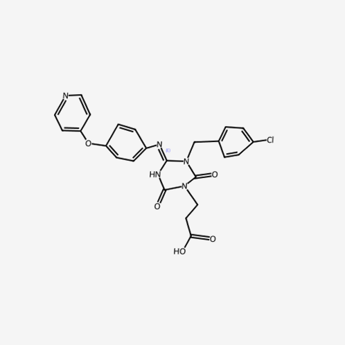 O=C(O)CCn1c(=O)[nH]/c(=N\c2ccc(Oc3ccncc3)cc2)n(Cc2ccc(Cl)cc2)c1=O